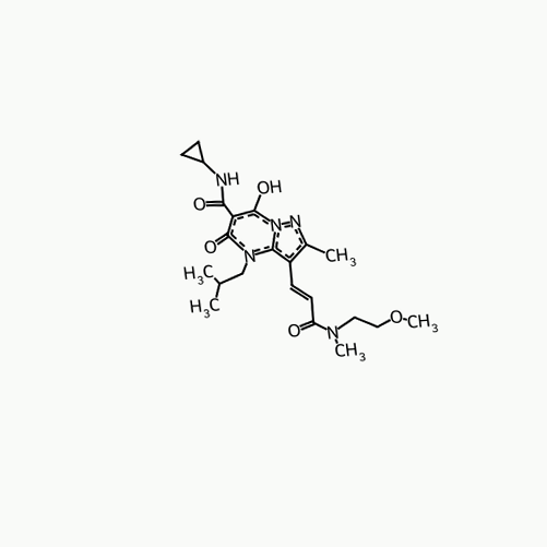 COCCN(C)C(=O)C=Cc1c(C)nn2c(O)c(C(=O)NC3CC3)c(=O)n(CC(C)C)c12